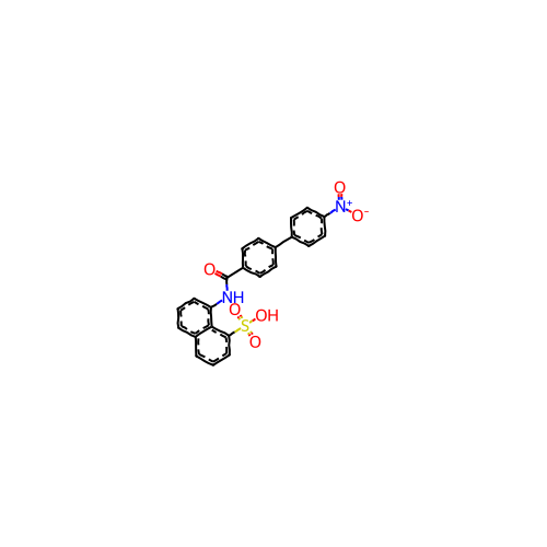 O=C(Nc1cccc2cccc(S(=O)(=O)O)c12)c1ccc(-c2ccc([N+](=O)[O-])cc2)cc1